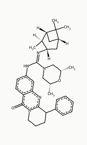 C[C@@H]1[C@@H](/N=C(/Nc2ccc3c(=O)n4c(nc3c2)C(c2ccccc2)CCC4)N2C[C@@H](C)O[C@@H](C)C2)C[C@@H]2C[C@H]1C2(C)C